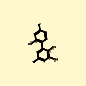 Cc1ccc(-c2cc(C)cc(O)c2O)c(O)c1